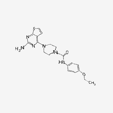 CCOc1ccc(NC(=O)N2CCN(c3nc(N)nc4sccc34)CC2)cc1